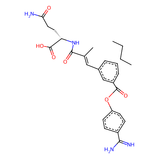 C/C(=C\c1cccc(C(=O)Oc2ccc(C(=N)N)cc2)c1)C(=O)N[C@@H](CCC(N)=O)C(=O)O.CCCC